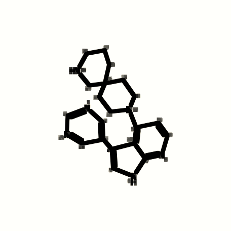 c1ncc(-c2c[nH]c3nccc(N4CCC5(CCCNC5)CC4)c23)cn1